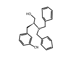 N#Cc1cccc(C[C@@H](CO)N(Cc2ccccc2)Cc2ccccc2)c1